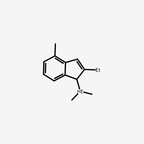 CCC1=Cc2c(C)cccc2[CH]1[Hf]([CH3])[CH3]